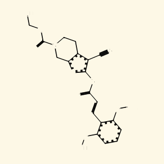 CCOC(=O)N1CCc2c(sc(NC(=O)C=Cc3c(OC)cccc3OC)c2C#N)C1